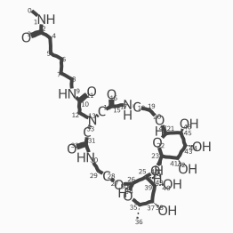 CNC(=O)CCCCCNC(=O)CN1CC(=O)NCCO[C@@H]2O[C@@H](O[C@@H]3[C@H](OCCNC(=O)C1)O[C@@H](C)[C@@H](O)[C@H]3O)[C@@H](O)[C@@H](O)[C@@H]2O